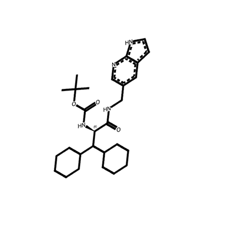 CC(C)(C)OC(=O)N[C@@H](C(=O)NCc1cnc2[nH]ccc2c1)C(C1CCCCC1)C1CCCCC1